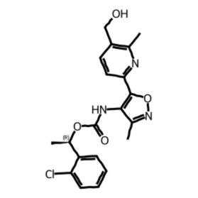 Cc1nc(-c2onc(C)c2NC(=O)O[C@H](C)c2ccccc2Cl)ccc1CO